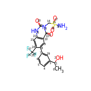 CC(O)c1cccc(-c2cc3c(=O)n(CS(N)(=O)=O)c(=O)[nH]c3cc2C(F)(F)F)c1